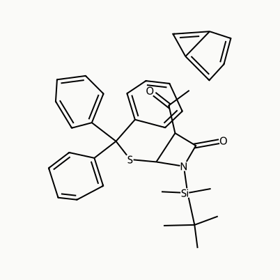 CC(=O)C1C(=O)N([Si](C)(C)C(C)(C)C)C1SC(c1ccccc1)(c1ccccc1)c1ccccc1.c1cc2cc-2c1